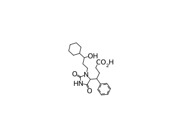 O=C(O)CCC(c1ccccc1)C1C(=O)NC(=O)N1CCC(O)C1CCCCC1